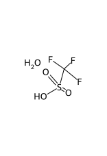 O.O=S(=O)(O)C(F)(F)F